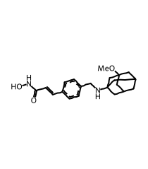 COC12CC3CC(CC(NCc4ccc(C=CC(=O)NO)cc4)(C3)C1)C2